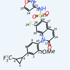 COc1cc(C2CC2C(F)(F)F)ccc1-n1c(=O)ccc2cc(S(=O)(=O)Nc3ccon3)c(F)cc21